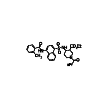 CCCC(=O)N1CC[C@@H](NS(=O)(=O)c2ccc(NC(=O)c3ccccc3C)c3ccccc23)[C@@H](C(=O)OCC)C1